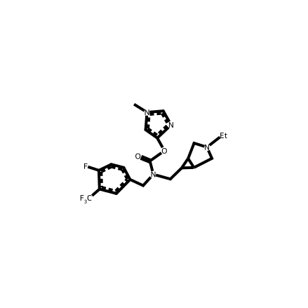 CCN1CC2C(C1)C2CN(Cc1ccc(F)c(C(F)(F)F)c1)C(=O)Oc1cn(C)cn1